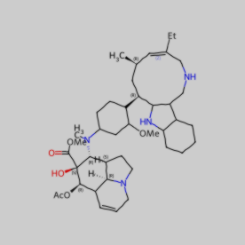 CC/C1=C/[C@H](C)C[C@H](C2CCC(N(C)[C@@H]3[C@H]4CCN5CC=CC([C@@H](OC(C)=O)[C@]3(O)C(=O)OC)[C@@H]45)CC2OC)C2NC3CCCCC3C2CNC1